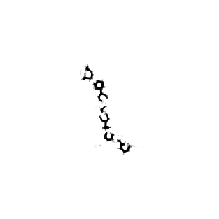 CC(C)Oc1cc2nc(C3CCN(C(=O)CN4CCC(c5cccc(NC6CCC(=O)NC6=O)c5)CC4)CC3)cn2cc1NC(=O)c1cccc(C(F)(F)F)n1